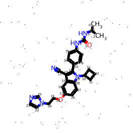 CC(C)NC(=O)Nc1ccc(-c2c(C#N)c3cc(OCCn4ccnc4)ccc3n2C2CCC2)cc1